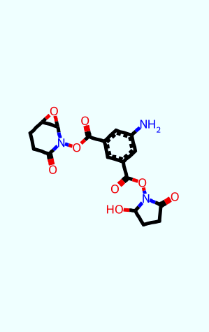 Nc1cc(C(=O)ON2C(=O)CCC2O)cc(C(=O)ON2C(=O)CCC3OC32)c1